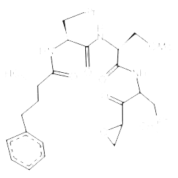 COC[C@H](NC(=O)[C@H](CC(C)C)NC(=O)[C@@H](O)CCc1ccccc1)C(=O)NC(CC(C)C)C(=O)[C@@]1(C)CO1